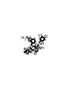 CC(C)N(C(=O)NCc1ccc(Cl)c(Cl)c1)N1CC(=O)N2[C@@H](CC3C[N@@]4C[C@H]4N3)C(=O)N(Cc3cccc4sc(N)nc34)C[C@@H]21